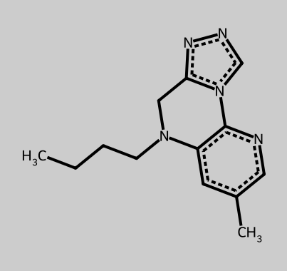 CCCCN1Cc2nncn2-c2ncc(C)cc21